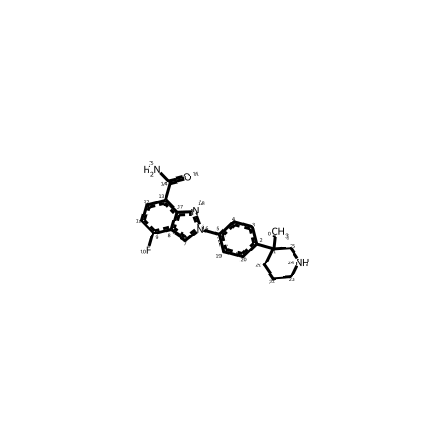 CC1(c2ccc(-n3cc4c(F)ccc(C(N)=O)c4n3)cc2)CCCNC1